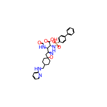 O=CNC(C1=NOC2(CCC(CNc3ccccn3)CC2)C1)[C@H](NS(=O)(=O)c1ccc(-c2ccccc2)cc1)C(=O)O